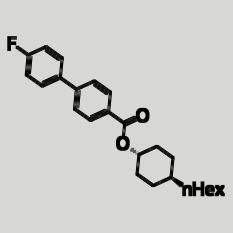 CCCCCC[C@H]1CC[C@H](OC(=O)c2ccc(-c3ccc(F)cc3)cc2)CC1